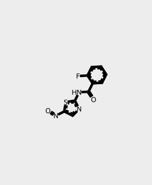 O=Nc1cnc(NC(=O)c2ccccc2F)s1